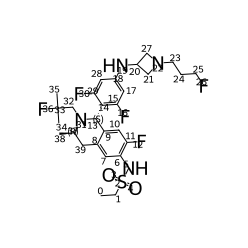 CCS(=O)(=O)Nc1cc2c(cc1F)[C@@H](c1c(F)cc(NC3CN(CCCF)C3)cc1F)N(CC(C)(C)F)[C@H](C)C2